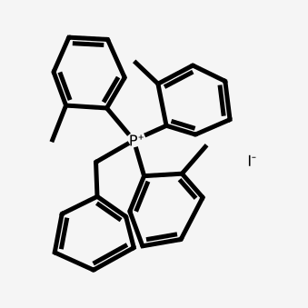 Cc1ccccc1[P+](Cc1ccccc1)(c1ccccc1C)c1ccccc1C.[I-]